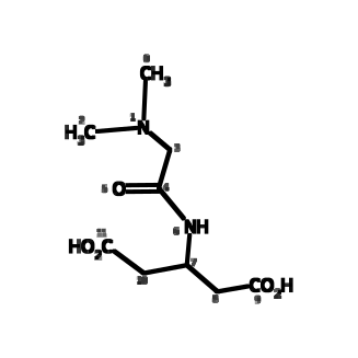 CN(C)CC(=O)NC(CC(=O)O)CC(=O)O